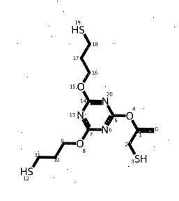 C=C(CS)Oc1nc(OCCCS)nc(OCCCS)n1